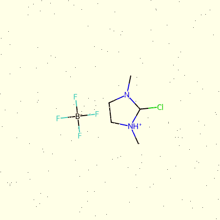 CN1CC[NH+](C)C1Cl.F[B-](F)(F)F